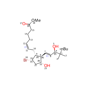 CCCCC(C)(C)[C@H](O)/C=C/[C@@H]1[C@@H](C/C=C\CCCC(=O)OC)[C@@H](Br)C[C@H]1O